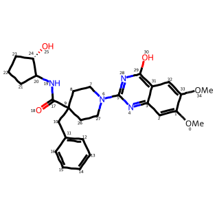 COc1cc2nc(N3CCC(Cc4ccccc4)(C(=O)NC4CCC[C@@H]4O)CC3)nc(O)c2cc1OC